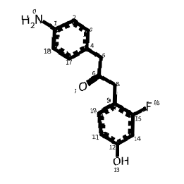 Nc1ccc(CC(=O)Cc2ccc(O)cc2F)cc1